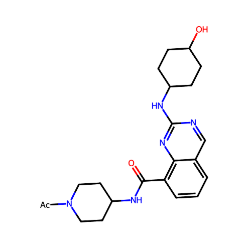 CC(=O)N1CCC(NC(=O)c2cccc3cnc(NC4CCC(O)CC4)nc23)CC1